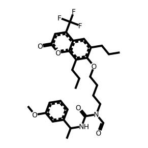 CCCc1cc2c(C(F)(F)F)cc(=O)oc2c(CCC)c1OCCCCN(C=O)C(=O)NC(C)c1cccc(OC)c1